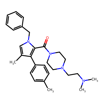 Cc1ccc(-c2c(C)cn(Cc3ccccc3)c2C(=O)N2CCN(CCN(C)C)CC2)cc1